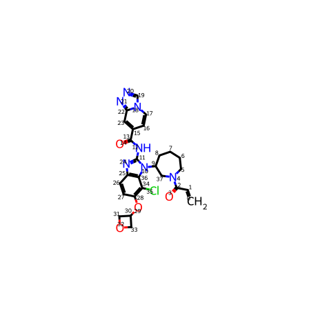 C=CC(=O)N1CCCCC(n2c(NC(=O)c3ccn4cnnc4c3)nc3ccc(OC4COC4)c(Cl)c32)C1